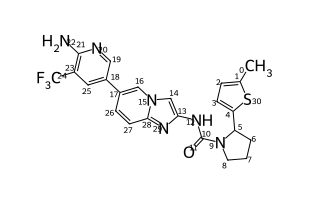 Cc1ccc(C2CCCN2C(=O)Nc2cn3cc(-c4cnc(N)c(C(F)(F)F)c4)ccc3n2)s1